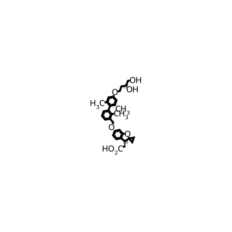 Cc1cc(OCC[C@H](O)CO)cc(C)c1-c1cccc(COc2ccc3c(c2)OC2(CC2)[C@H]3CC(=O)O)c1C